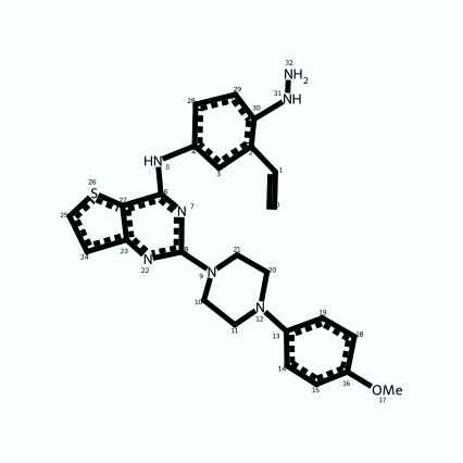 C=Cc1cc(Nc2nc(N3CCN(c4ccc(OC)cc4)CC3)nc3ccsc23)ccc1NN